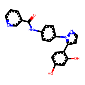 O=C(Nc1ccc(-n2nccc2-c2ccc(O)cc2O)cc1)c1cccnc1